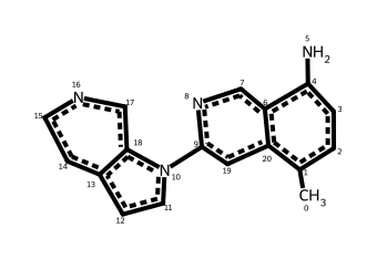 Cc1ccc(N)c2cnc(-n3ccc4ccncc43)cc12